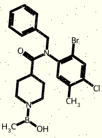 CB(O)N1CCC(C(=O)N(Cc2ccccc2)c2cc(C)c(Cl)cc2Br)CC1